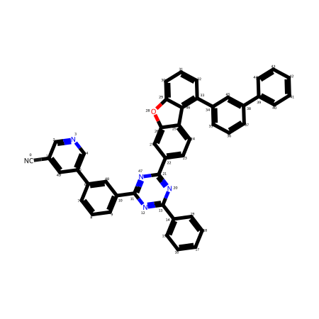 N#Cc1cncc(-c2cccc(-c3nc(-c4ccccc4)nc(-c4ccc5c(c4)oc4cccc(-c6cccc(-c7ccccc7)c6)c45)n3)c2)c1